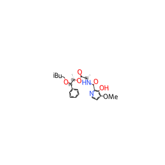 CCC(C)CO[C@H](c1ccccc1)[C@H](C)OC(=O)[C@H](C)NC(=O)c1nccc(OC)c1O